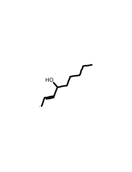 [CH2]C=CC(O)CCCCC